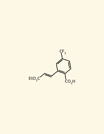 CCOC(=O)/C=C/c1cc(C(F)(F)F)ccc1C(=O)O